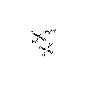 O=S(=O)(O)O.O=S(=O)([O-])[O-].[Ag+].[Ag+]